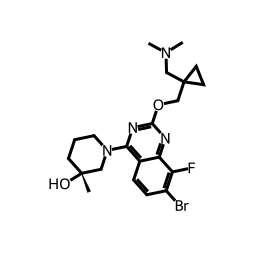 CN(C)CC1(COc2nc(N3CCC[C@@](C)(O)C3)c3ccc(Br)c(F)c3n2)CC1